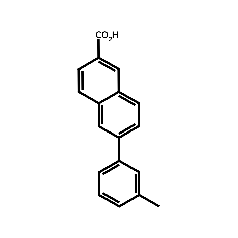 Cc1cccc(-c2ccc3cc(C(=O)O)ccc3c2)c1